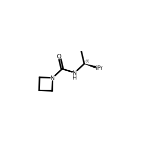 CC(C)[C@H](C)NC(=O)N1CCC1